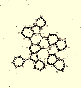 c1ccc(-n2c3ccccc3c3c4c5c(cc32)-c2cccc3c6ccccc6n(c23)B5c2ccc3ccccc3c2N4c2ccc3ccccc3c2)cc1